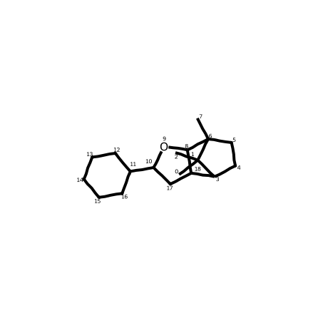 CC1(C)C2CCC1(C)C1OC([C]3CCCCC3)CC21